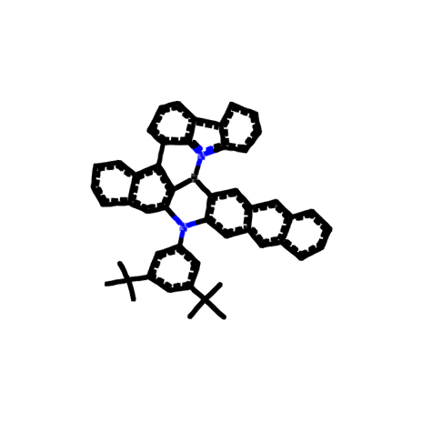 CC(C)(C)c1cc(N2c3cc4cc5ccccc5cc4cc3B3c4c2cc2ccccc2c4-c2cccc4c5ccccc5n3c24)cc(C(C)(C)C)c1